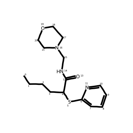 CCCCC(Sc1ccccn1)C(=O)NCN1CCOCC1